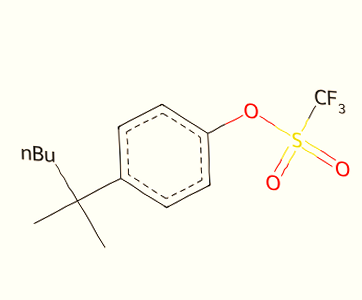 CCCCC(C)(C)c1ccc(OS(=O)(=O)C(F)(F)F)cc1